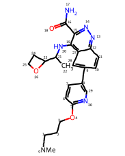 CNCCCOc1ccc(-c2ccc3nnc(C(N)=O)c(NC(C)C4CCO4)c3c2)cn1